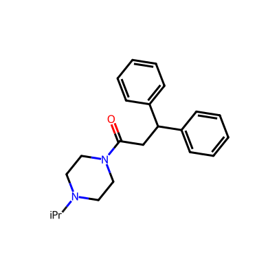 CC(C)N1CCN(C(=O)CC(c2ccccc2)c2ccccc2)CC1